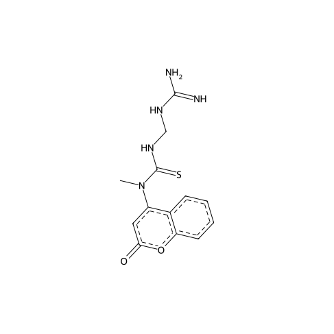 CN(C(=S)NCNC(=N)N)c1cc(=O)oc2ccccc12